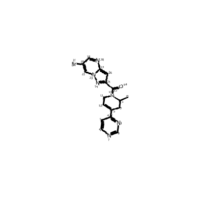 CC1CC(c2ccncn2)=CCN1C(=O)c1cc2ncc(Br)cn2n1